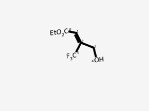 CCOC(=O)/C=C(/CO)C(F)(F)F